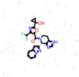 O=C(c1oc(C2(O)CC2)nc1C(F)F)N1CCc2[nH]cnc2[C@@H]1c1cc2ccccn2n1